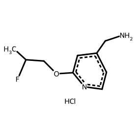 CC(F)COc1cc(CN)ccn1.Cl